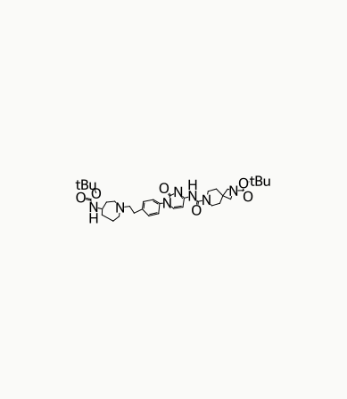 CC(C)(C)OC(=O)NC1CCCN(CCc2ccc(-n3ccc(NC(=O)N4CCC5(CC4)CN(C(=O)OC(C)(C)C)C5)nc3=O)cc2)CC1